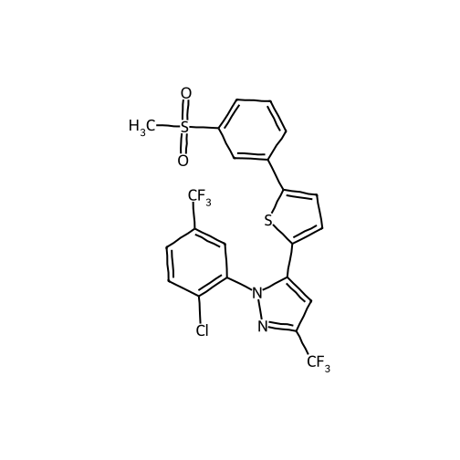 CS(=O)(=O)c1cccc(-c2ccc(-c3cc(C(F)(F)F)nn3-c3cc(C(F)(F)F)ccc3Cl)s2)c1